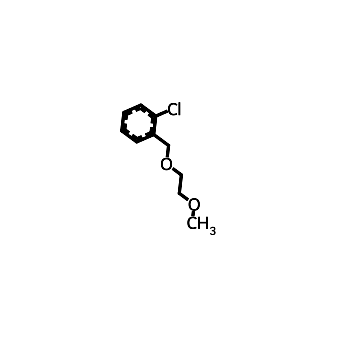 COCCOCc1ccccc1Cl